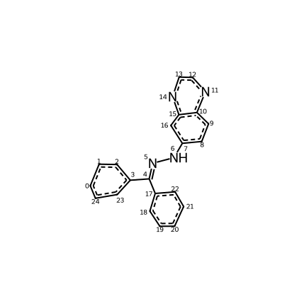 c1ccc(C(=NNc2ccc3nccnc3c2)c2ccccc2)cc1